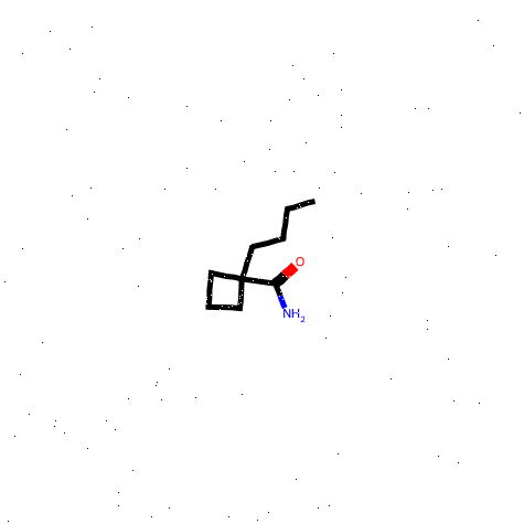 CCCCC1(C(N)=O)CCC1